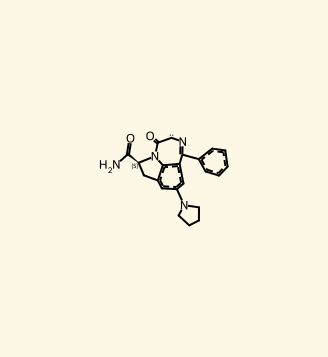 NC(=O)[C@@H]1Cc2cc(N3CCCC3)cc3c2N1C(=O)[C]N=C3c1ccccc1